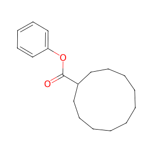 O=C(Oc1ccccc1)C1CCCCCCCCCC1